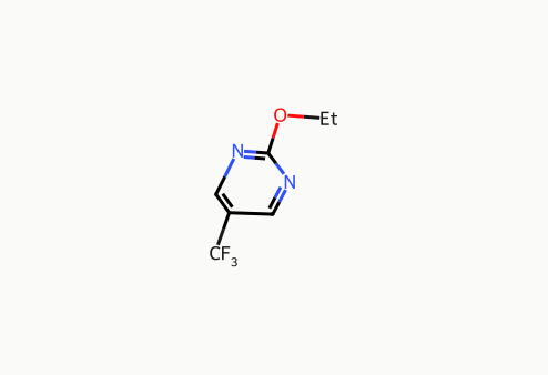 CCOc1ncc(C(F)(F)F)cn1